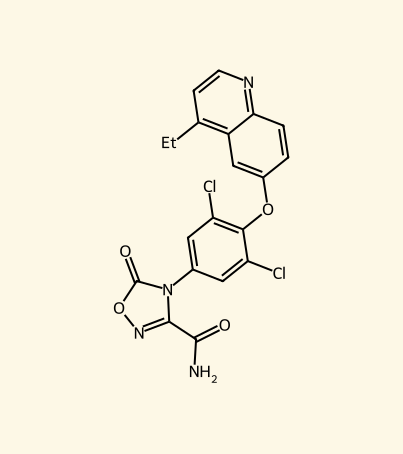 CCc1ccnc2ccc(Oc3c(Cl)cc(-n4c(C(N)=O)noc4=O)cc3Cl)cc12